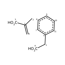 C=C(C)C(=O)O.O=C(O)Cc1ccccc1